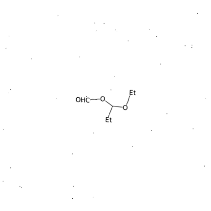 CCOC(CC)OC=O